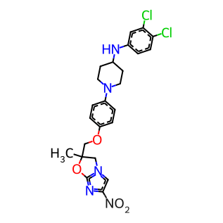 CC1(COc2ccc(N3CCC(Nc4ccc(Cl)c(Cl)c4)CC3)cc2)Cn2cc([N+](=O)[O-])nc2O1